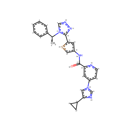 C[C@@H](c1ccccc1)n1cnnc1-c1cc(NC(=O)c2cc(-n3cnc(C4CC4)c3)ccn2)cs1